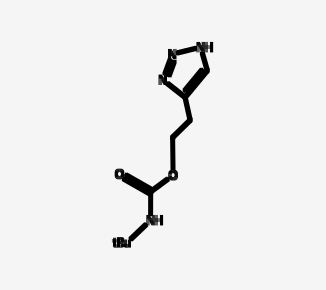 CC(C)(C)NC(=O)OCCc1c[nH]nn1